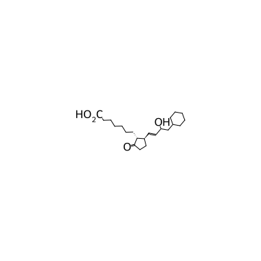 O=C(O)CCCCCC[C@H]1C(=O)CC[C@@H]1/C=C/C(O)CC1CCCCC1